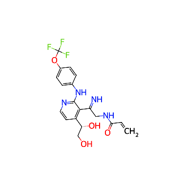 C=CC(=O)NCC(=N)c1c([C@H](O)CO)ccnc1Nc1ccc(OC(F)(F)F)cc1